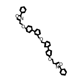 c1ccc(-c2nc(CCOc3ccc(-c4cccc(COCc5cccc(-c6ccc(OCCc7coc(-c8ccccc8)n7)cc6)c5)c4)cc3)co2)cc1